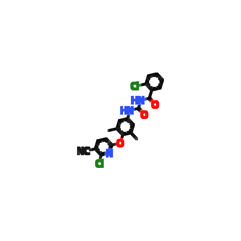 Cc1cc(NC(=O)NC(=O)c2ccccc2Cl)cc(C)c1Oc1ccc(C#N)c(Cl)n1